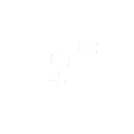 CCS(CC)(CC)c1cccc(-c2ccccc2O)c1